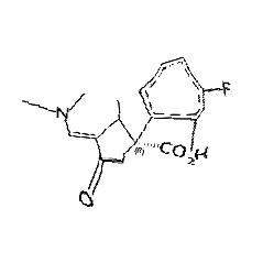 Cc1c(F)cccc1[C@@]1(C(=O)O)CC(=O)C(=CN(C)C)C1C